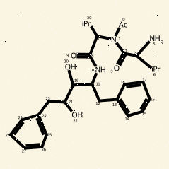 CC(=O)N(C(=O)C(N)C(C)C)C(C(=O)NC(Cc1ccccc1)C(O)C(O)Cc1ccccc1)C(C)C